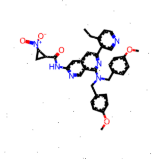 CCc1ccncc1-c1cc2cc(NC(=O)C3CC3[N+](=O)[O-])ncc2c(N(Cc2ccc(OC)cc2)Cc2ccc(OC)cc2)n1